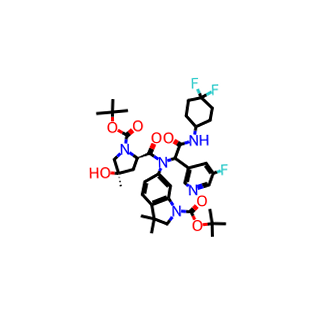 CC(C)(C)OC(=O)N1CC(C)(C)c2ccc(N(C(=O)[C@H]3C[C@@](C)(O)CN3C(=O)OC(C)(C)C)C(C(=O)NC3CCC(F)(F)CC3)c3cncc(F)c3)cc21